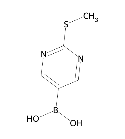 CSc1ncc(B(O)O)cn1